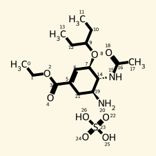 CCOC(=O)C1=C[C@@H](OC(CC)CC)[C@H](NC(C)=O)[C@@H](N)C1.O=S(=O)(O)O